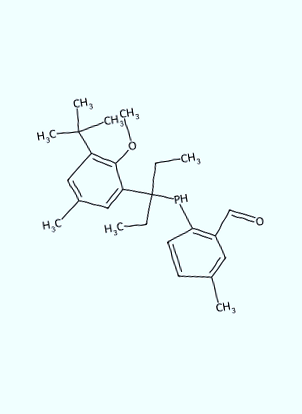 CCC(CC)(Pc1ccc(C)cc1C=O)c1cc(C)cc(C(C)(C)C)c1OC